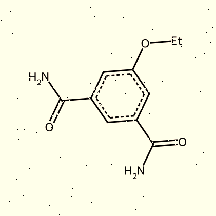 CCOc1cc(C(N)=O)cc(C(N)=O)c1